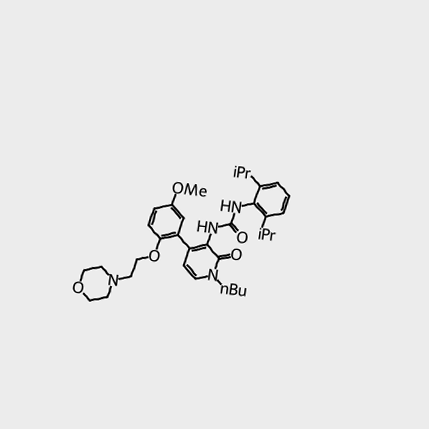 CCCCn1ccc(-c2cc(OC)ccc2OCCN2CCOCC2)c(NC(=O)Nc2c(C(C)C)cccc2C(C)C)c1=O